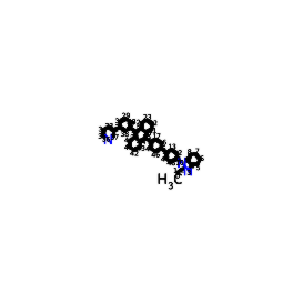 CCc1nc2ccccc2n1-c1ccc(-c2ccc(-c3c4ccccc4c(-c4cccc(-c5cccnc5)c4)c4ccccc34)cc2)cc1